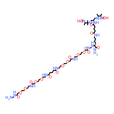 C/C(=N\O)C(C)NCC(CNC(C)(C)/C(C)=N/O)NC(=O)CCCC(=O)NCCCC[C@H](NCNC(=O)COCCOCCNC(=O)COCCOCCNC(=O)CCCC(=O)NCCOCCOCC(=O)NCCOCCOCC(=O)NCN)C(N)=O